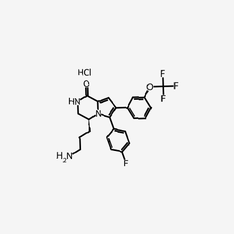 Cl.NCCC[C@H]1CNC(=O)c2cc(-c3cccc(OC(F)(F)F)c3)c(-c3ccc(F)cc3)n21